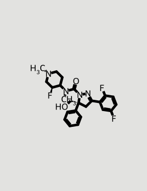 CN1CCC(N(C)C(=O)N2N=C(c3cc(F)ccc3F)C[C@@]2(CO)c2ccccc2)[C@@H](F)C1